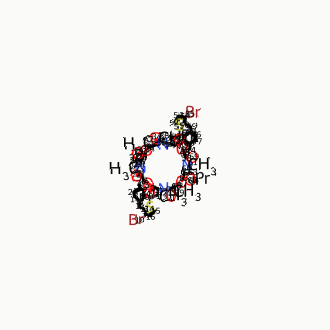 CC(C)C[C@H]1C(=O)O[C@H](Cc2ccc(Cc3sccc3Br)cc2)C(=O)N(C)[C@@H](CC(C)C)C(=O)O[C@H](C)C(=O)N(C)[C@@H](CC(C)C)C(=O)O[C@H](Cc2ccc(Cc3sccc3Br)cc2)C(=O)N(C)[C@@H](CC(C)C)C(=O)O[C@H](C)C(=O)N1C